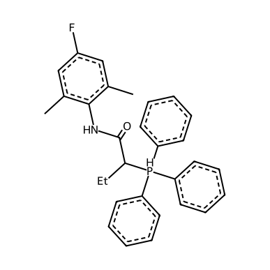 CCC(C(=O)Nc1c(C)cc(F)cc1C)[PH](c1ccccc1)(c1ccccc1)c1ccccc1